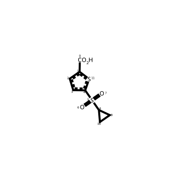 O=C(O)c1ccc(S(=O)(=O)C2CC2)s1